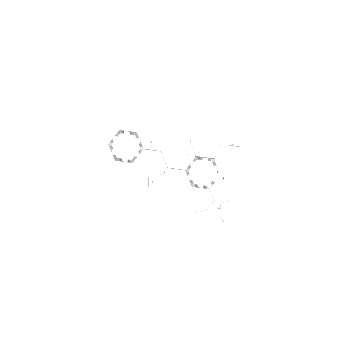 COc1nc([Si](C)(C)C)cc(C(O)Cc2ccccc2)c1C